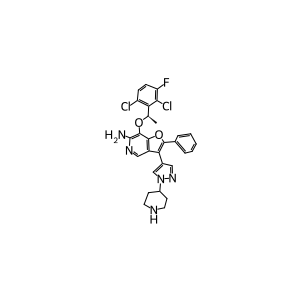 C[C@@H](Oc1c(N)ncc2c(-c3cnn(C4CCNCC4)c3)c(-c3ccccc3)oc12)c1c(Cl)ccc(F)c1Cl